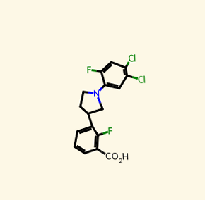 O=C(O)c1cccc(C2CCN(c3cc(Cl)c(Cl)cc3F)C2)c1F